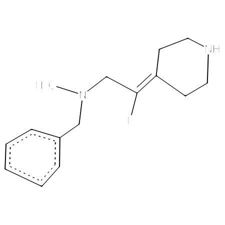 CN(CC(F)=C1CCNCC1)Cc1ccccc1